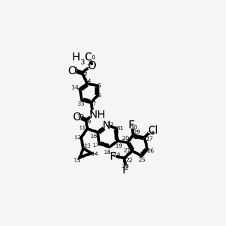 COC(=O)c1ccc(NC(=O)C(CC2CC2)c2ccc(-c3c(C(F)F)ccc(Cl)c3F)cn2)cc1